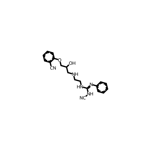 N#CN/C(=N\c1ccccc1)NCCNCC(O)COc1ccccc1C#N